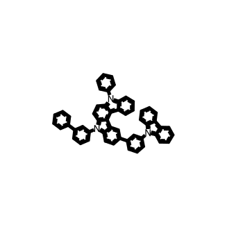 c1ccc(-c2cccc(-n3c4ccc(-c5cccc(-n6c7ccccc7c7ccccc76)c5)cc4c4c5c6ccccc6n(-c6ccccc6)c5ccc43)c2)cc1